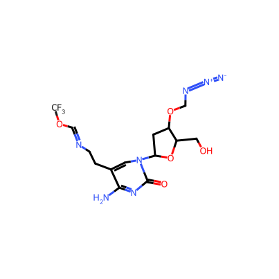 [N-]=[N+]=NCOC1CC(n2cc(CCN=COC(F)(F)F)c(N)nc2=O)OC1CO